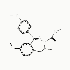 CNC(=O)N1N=C(c2ccc(N)cc2)c2cc(SC)ccc2CC1C